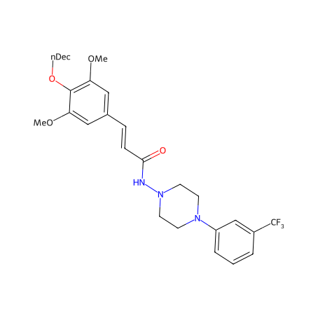 CCCCCCCCCCOc1c(OC)cc(C=CC(=O)NN2CCN(c3cccc(C(F)(F)F)c3)CC2)cc1OC